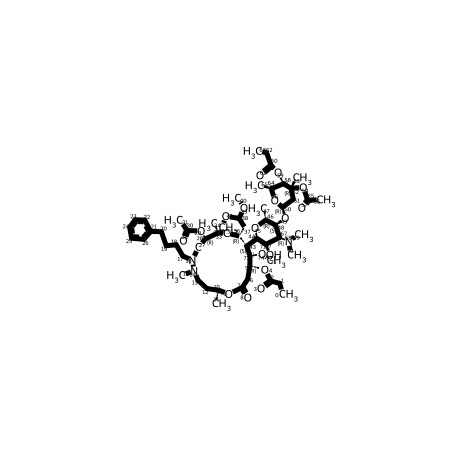 CCC(=O)O[C@@H]1CC(=O)O[C@H](C)CCN(C)N(CCCCc2ccccc2)C[C@H](OC(C)=O)[C@H](C)C[C@H](CC(OC)OC)[C@H]([C@@H]2O[C@H](C)[C@@H](O[C@@H]3C[C@@](C)(OC(C)=O)[C@@H](OC(=O)CC)[C@H](C)O3)[C@H](N(C)C)[C@H]2O)[C@@H]1OC